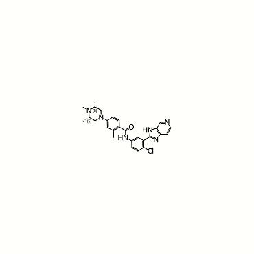 Cc1cc(N2C[C@@H](C)N(C)[C@@H](C)C2)ccc1C(=O)Nc1ccc(Cl)c(-c2nc3ccncc3[nH]2)c1